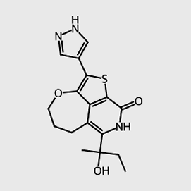 CCC(C)(O)c1[nH]c(=O)c2sc(-c3cn[nH]c3)c3c2c1CCCO3